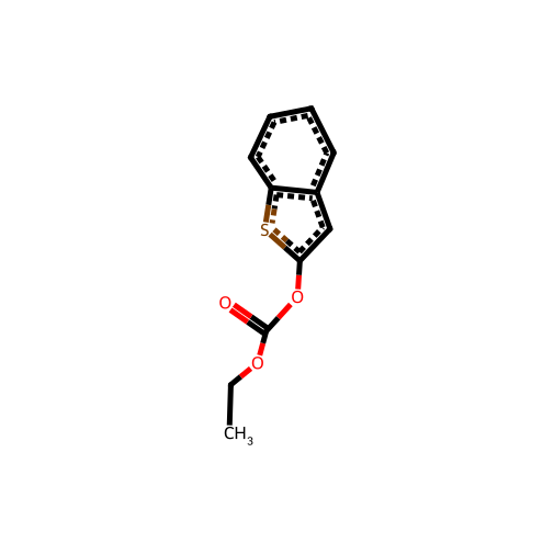 CCOC(=O)Oc1cc2ccccc2s1